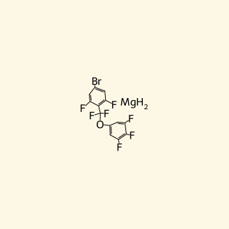 Fc1cc(OC(F)(F)c2c(F)cc(Br)cc2F)cc(F)c1F.[MgH2]